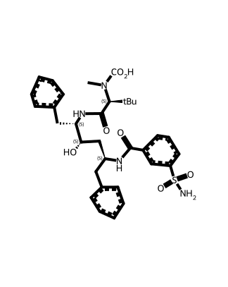 CN(C(=O)O)[C@H](C(=O)N[C@@H](Cc1ccccc1)[C@@H](O)C[C@H](Cc1ccccc1)NC(=O)c1cccc(S(N)(=O)=O)c1)C(C)(C)C